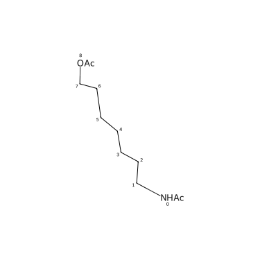 CC(=O)NCCCCCCCOC(C)=O